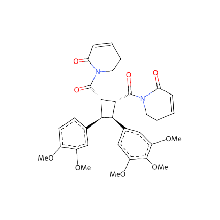 COc1ccc([C@H]2[C@H](C(=O)N3CCC=CC3=O)[C@H](C(=O)N3CCC=CC3=O)[C@H]2c2cc(OC)c(OC)c(OC)c2)cc1OC